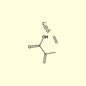 C=C.C=C(C)C(=O)O.[C-]#[O+]